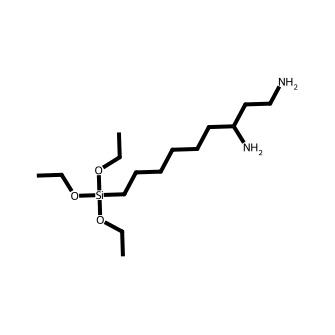 CCO[Si](CCCCCCC(N)CCN)(OCC)OCC